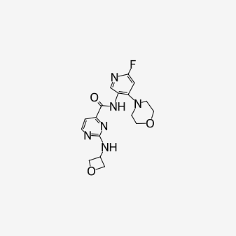 O=C(Nc1cnc(F)cc1N1CCOCC1)c1ccnc(NC2COC2)n1